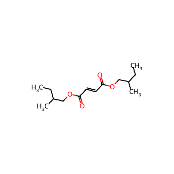 CCC(C)COC(=O)C=CC(=O)OCC(C)CC